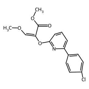 COC=C(Oc1cccc(-c2ccc(Cl)cc2)n1)C(=O)OC